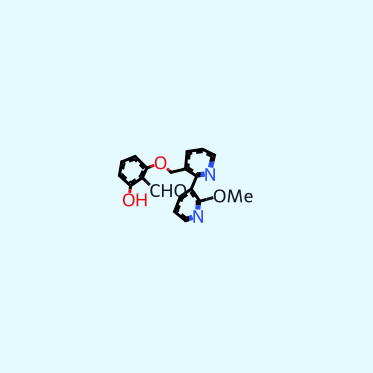 COc1ncccc1-c1ncccc1COc1cccc(O)c1C=O